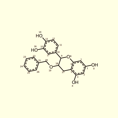 Oc1cc(O)c2c(c1)OC(c1ccc(O)c(O)c1)C(OCc1ccccc1)C2